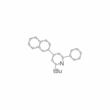 CC(C)(C)c1cc(-c2ccc3ccccc3c2)cc(-c2ccccc2)n1